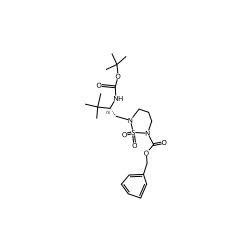 CC(C)(C)OC(=O)N[C@H](CN1CCCN(C(=O)OCc2ccccc2)S1(=O)=O)C(C)(C)C